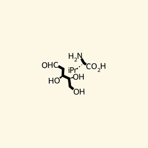 CC(C)[C@H](N)C(=O)O.O=CC[C@H](O)[C@H](O)CO